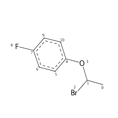 CC(Br)Oc1ccc(F)cc1